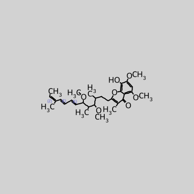 C\C=C(C)/C=C/C=C/C(OC)C(C)C(OC)C(C)CCc1oc2c(O)c(OC)cc(OC)c2c(=O)c1C